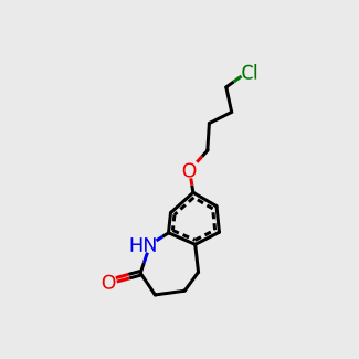 O=C1CCCc2ccc(OCCCCCl)cc2N1